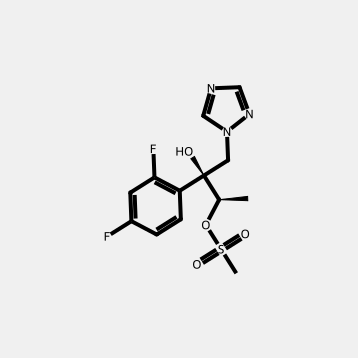 C[C@@H](OS(C)(=O)=O)[C@@](O)(Cn1cncn1)c1ccc(F)cc1F